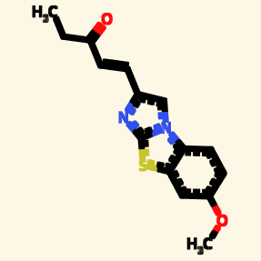 CCC(=O)/C=C/c1cn2c(n1)sc1cc(OC)ccc12